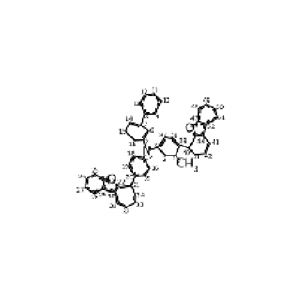 CC1CC(N(C2=CC(c3ccccc3)=CCC2)c2ccc(C3=c4oc5ccccc5c4=C=CC=C3)cc2)=CC=C1C1CC=Cc2c1oc1ccccc21